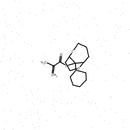 C=C(C)C(=O)OC1(C2CCCCC2)C2CCCCC1OCC2